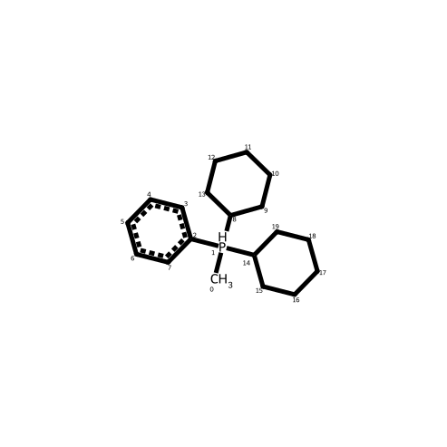 C[PH](c1ccccc1)(C1CCCCC1)C1CCCCC1